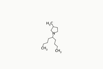 CCCCC(CCCC)N1CCC(C)C1